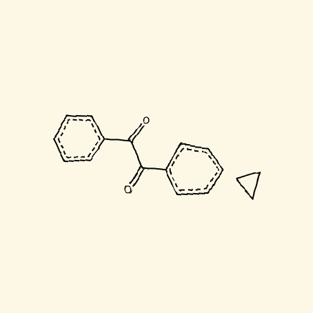 C1CC1.O=C(C(=O)c1ccccc1)c1ccccc1